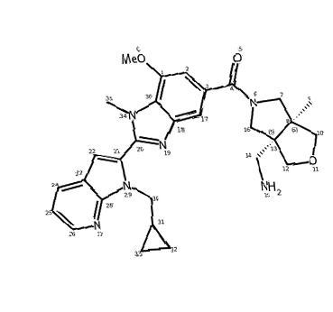 COc1cc(C(=O)N2C[C@@]3(C)COC[C@@]3(CN)C2)cc2nc(-c3cc4cccnc4n3CC3CC3)n(C)c12